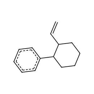 C=CC1CCCCC1c1ccccc1